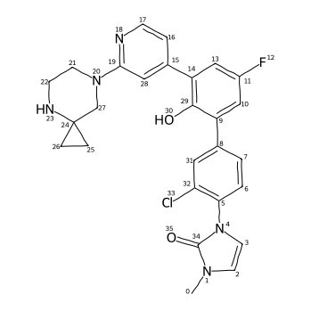 Cn1ccn(-c2ccc(-c3cc(F)cc(-c4ccnc(N5CCNC6(CC6)C5)c4)c3O)cc2Cl)c1=O